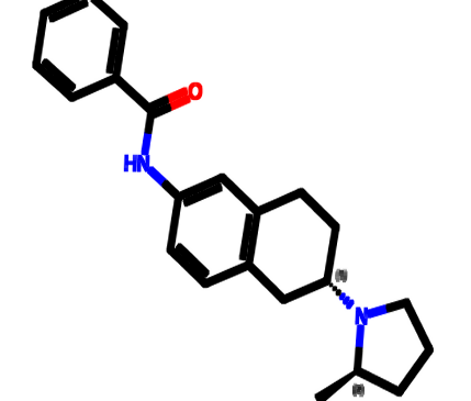 C[C@@H]1CCCN1[C@H]1CCc2cc(NC(=O)c3ccccc3)ccc2C1